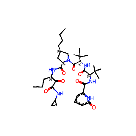 CCCC[C@@H]1C[C@@H](C(=O)N[C@H](CCC)C(=O)C(=O)NC2CC2)N(C(=O)[C@@H](NC(=O)[C@H](NC(=O)c2cccc(=O)[nH]2)C(C)(C)C)C(C)(C)C)C1